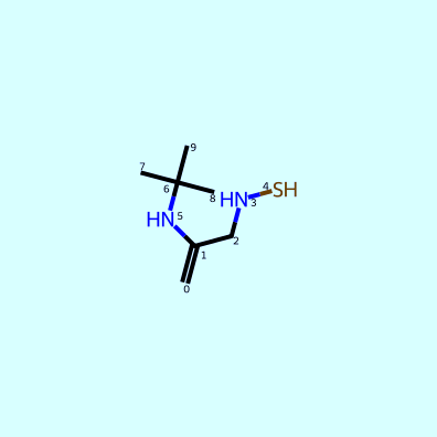 C=C(CNS)NC(C)(C)C